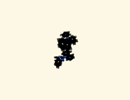 Cc1nc(-n2c3ccccc3c3cc(-c4cc5c6ccccc6n(-c6ccccc6)c5c5ccccc45)ccc32)nc2ccccc12